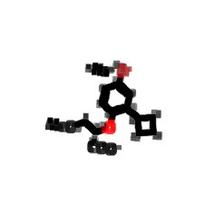 COC[C@H](Oc1ccc(Br)cc1C1CCC1)C(=O)[O-].[Na+]